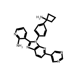 Nc1ncccc1-c1nc2ccc(-c3cncnc3)nc2n1-c1ccc(C2(N)CCC2)cc1